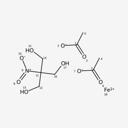 CC(=O)[O-].CC(=O)[O-].O=[N+]([O-])C(CO)(CO)CO.[Fe+2]